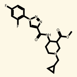 COC(=O)C1CN(CC2CC2)CCC1NC(=O)c1cn(-c2ccc(F)cc2F)nn1